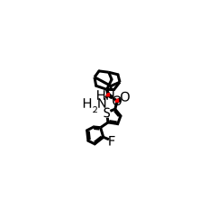 NC(=O)C12CC3CC(C1)C(NC(=O)c1ccc(-c4ccccc4F)s1)C(C3)C2